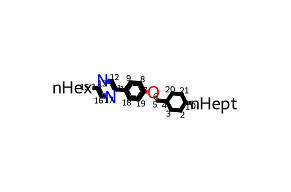 CCCCCCCC1CCC(COc2ccc(-c3cnc(CCCCCC)cn3)cc2)CC1